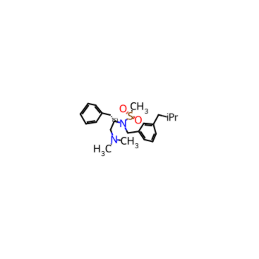 CC(C)Cc1cccc(CN([C@@H](Cc2ccccc2)CN(C)C)S(C)(=O)=O)c1